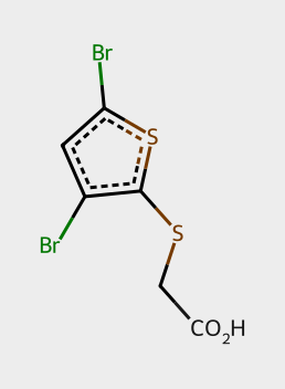 O=C(O)CSc1sc(Br)cc1Br